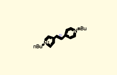 CCCC[n+]1ccc(/C=C/c2cc[n+](CCCC)cc2)cc1